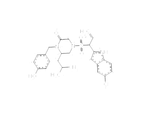 C=CC(c1cc2cc(Cl)ccc2[nH]1)S(=O)(=O)N1CC(=O)N(Cc2ccc(O)cc2)C(CC(C)C)C1